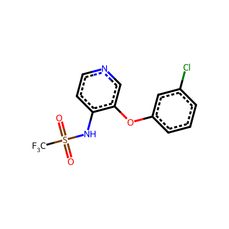 O=S(=O)(Nc1ccncc1Oc1cccc(Cl)c1)C(F)(F)F